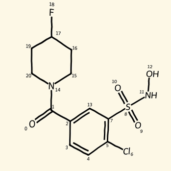 O=C(c1ccc(Cl)c(S(=O)(=O)NO)c1)N1CCC(F)CC1